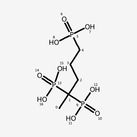 CC(CCCP(=O)(O)O)(P(=O)(O)O)P(=O)(O)O